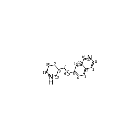 c1cc2ccc(SCC3CCCNC3)cc2cn1